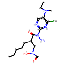 CCCCC[C@H](CN(O)C=O)C(=O)N(N)c1ncc(N(C)CC)c(F)n1